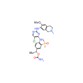 COc1cc2c(cc1Nc1ncc(Cl)c(Nc3ccc(C(OC(N)=O)C(C)(C)C)cc3P(C)(C)=O)n1)CN(C)CC2